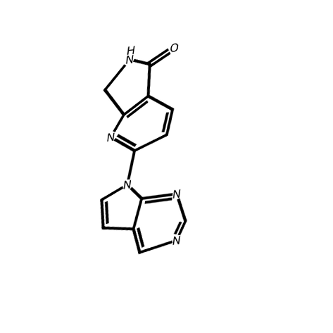 O=C1NCc2nc(-n3ccc4cncnc43)ccc21